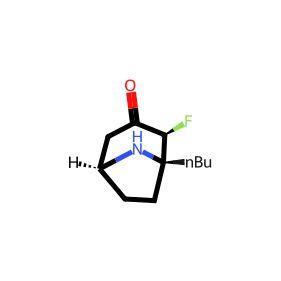 CCCC[C@]12CC[C@@H](CC(=O)[C@H]1F)N2